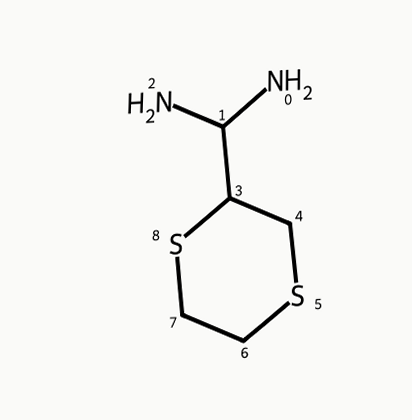 NC(N)C1CSCCS1